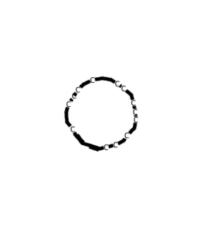 [C]1=C\C=C/CCCCCCCCCCCCCCCCCCCCC/1